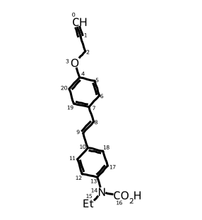 C#CCOc1ccc(/C=C/c2ccc(N(CC)C(=O)O)cc2)cc1